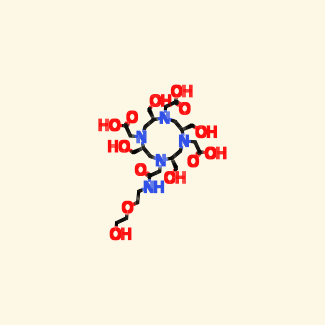 O=C(O)CN1C[C@@H](CO)N(CC(=O)O)C[C@@H](CO)N(CC(=O)NCCOCCO)C[C@@H](CO)N(CC(=O)O)C[C@H]1CO